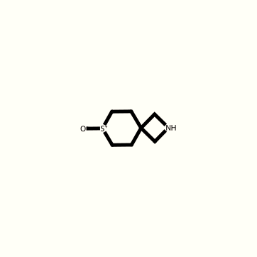 [O-][S+]1CCC2(CC1)CNC2